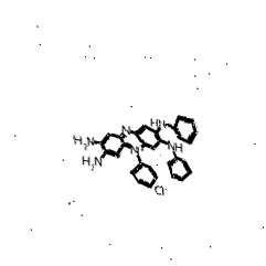 Nc1cc2nc3cc(Nc4ccccc4)c(Nc4ccccc4)cc3[n+](-c3ccccc3)c2cc1N.[Cl-]